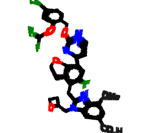 COc1cc(C(=O)O)cc2c1nc(Cc1c(F)cc(-c3ccnc(OCc4ccc(Cl)cc4OC(F)F)n3)c3c1CCO3)n2C[C@@H]1CCO1